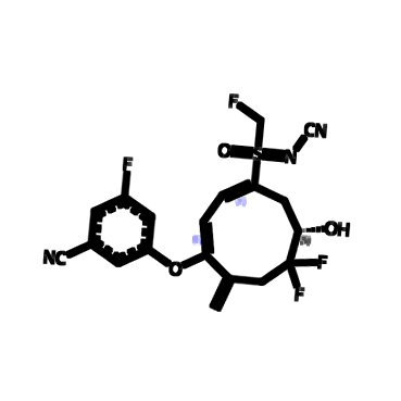 C=C1CC(F)(F)[C@@H](O)C/C(S(=O)(CF)=NC#N)=C\C=C/1Oc1cc(F)cc(C#N)c1